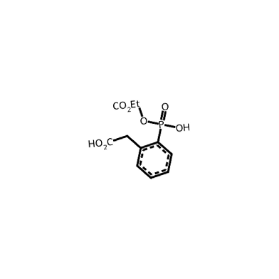 CCOC(=O)OP(=O)(O)c1ccccc1CC(=O)O